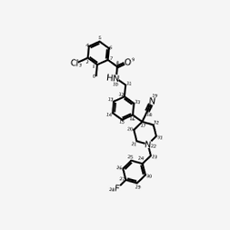 Cc1c(Cl)cccc1C(=O)NCc1cccc(C2(C#N)CCN(Cc3ccc(F)cc3)CC2)c1